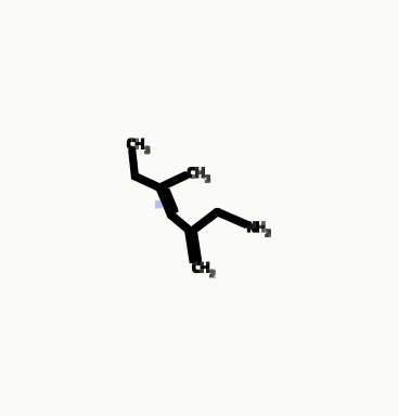 C=C(/C=C(\C)CC)CN